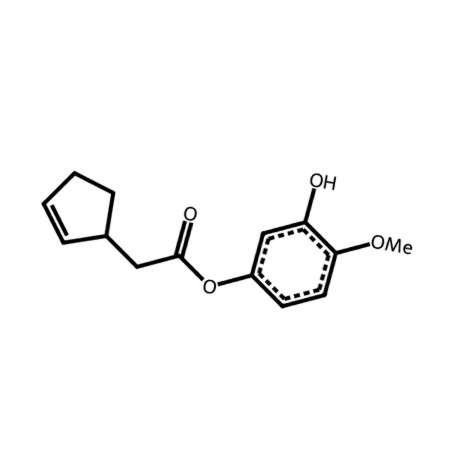 COc1ccc(OC(=O)CC2C=CCC2)cc1O